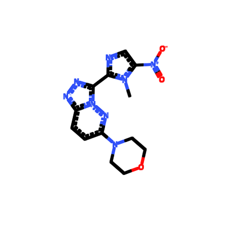 Cn1c([N+](=O)[O-])cnc1-c1nnc2ccc(N3CCOCC3)nn12